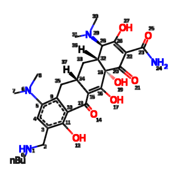 CCCCNCc1cc(N(C)C)c2c(c1O)C(=O)C1=C(O)[C@]3(O)C(=O)C(C(N)=O)=C(O)[C@H](N(C)C)[C@H]3C[C@H]1C2